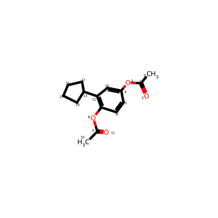 CC(=O)Oc1ccc(OC(C)=O)c(C2CCCC2)c1